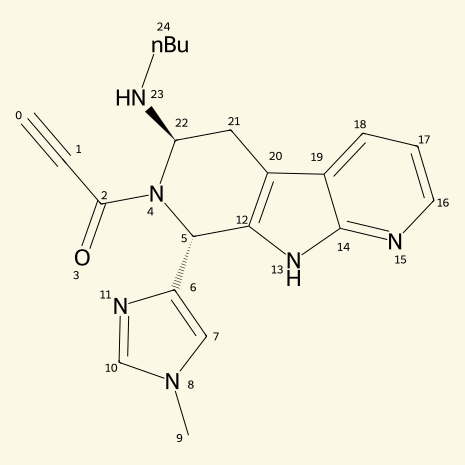 C#CC(=O)N1[C@@H](c2cn(C)cn2)c2[nH]c3ncccc3c2C[C@@H]1NCCCC